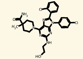 CC1(C(N)=O)CCN(c2nc(NCCO)nc3c2nc(-c2ccccc2Cl)n3-c2ccc(Cl)cc2)CC1